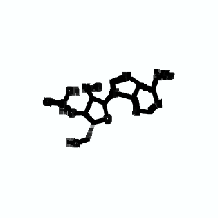 CNc1ncnc2c1ncn2C1O[C@H](CO)C(O[PH](=O)O)C1OC